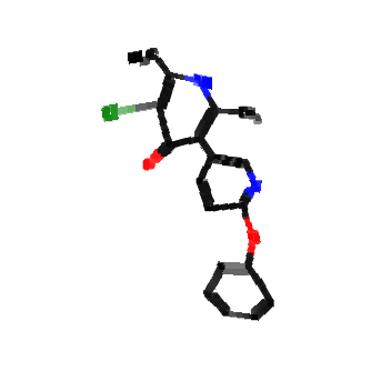 Cc1[nH]c(C)c(-c2ccc(Oc3ccccc3)nc2)c(=O)c1Cl